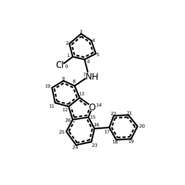 Clc1ccccc1Nc1cccc2c1oc1c(-c3ccccc3)cccc12